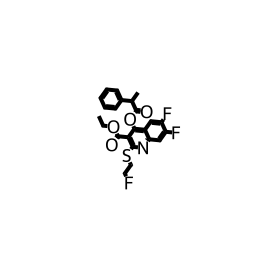 CCOC(=O)c1c(SCCF)nc2cc(F)c(F)cc2c1OC(=O)C(C)c1ccccc1